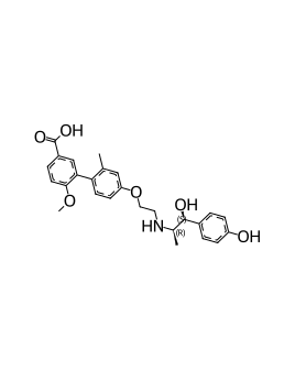 COc1ccc(C(=O)O)cc1-c1ccc(OCCN[C@H](C)[C@@H](O)c2ccc(O)cc2)cc1C